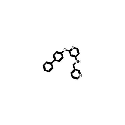 c1ccc(-c2ccc(Oc3cc(NCc4cccnc4)ccn3)cc2)cc1